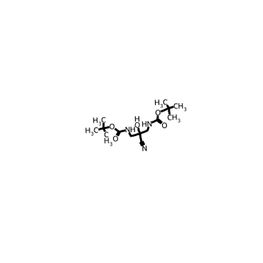 CC(C)(C)OC(=O)NCC(O)(C#N)CNC(=O)OC(C)(C)C